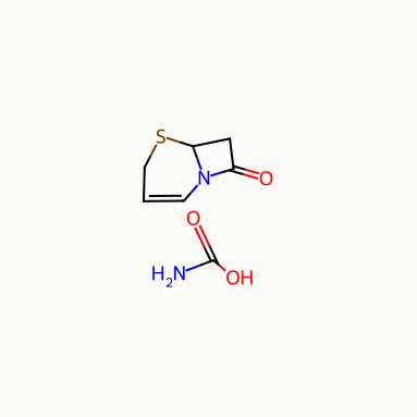 NC(=O)O.O=C1CC2SCC=CN12